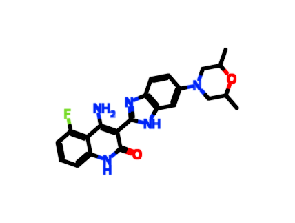 CC1CN(c2ccc3nc(-c4c(N)c5c(F)cccc5[nH]c4=O)[nH]c3c2)CC(C)O1